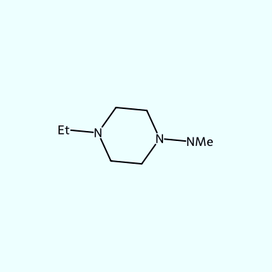 CCN1CCN(NC)CC1